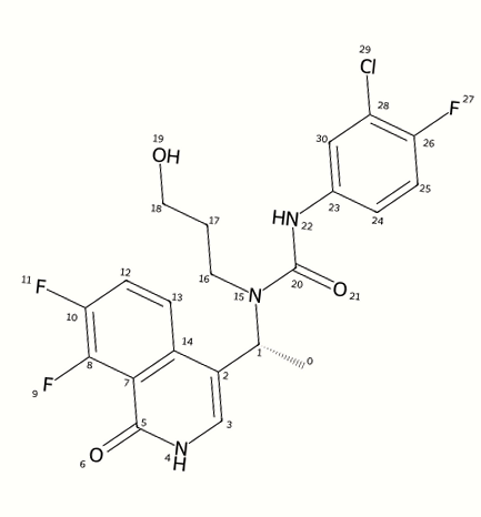 C[C@H](c1c[nH]c(=O)c2c(F)c(F)ccc12)N(CCCO)C(=O)Nc1ccc(F)c(Cl)c1